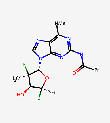 CC[C@@]1(F)O[C@@H](n2cnc3c(NC)nc(NC(=O)C(C)C)nc32)[C@](C)(F)[C@@H]1O